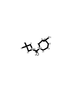 CC1(C)CN(C(=O)N2CC=C(I)CCC2)C1